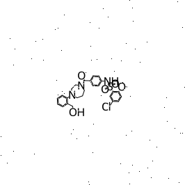 COc1ccc(Cl)cc1S(=O)(=O)Nc1ccc(C(=O)N2CCCN(c3ccccc3CO)CC2)cc1